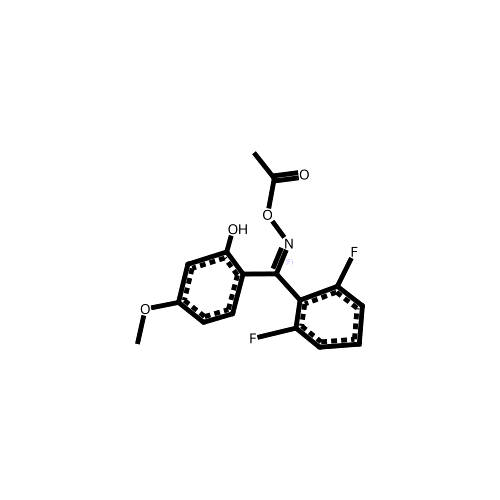 COc1ccc(/C(=N\OC(C)=O)c2c(F)cccc2F)c(O)c1